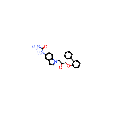 NC(=O)Nc1ccc2c(ccn2CC(=O)COc2ccccc2-c2ccccc2)c1